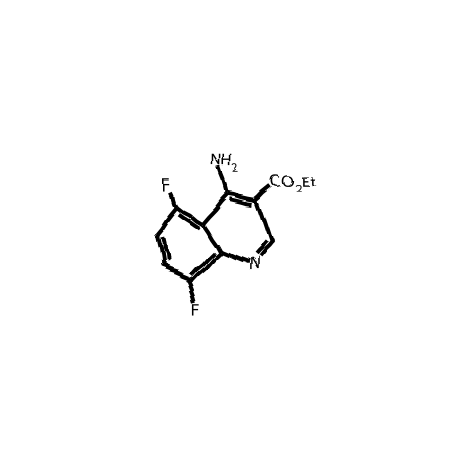 CCOC(=O)c1cnc2c(F)ccc(F)c2c1N